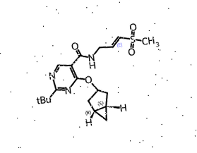 CC(C)(C)c1ncc(C(=O)NC/C=C/S(C)(=O)=O)c(OC2C[C@@H]3C[C@@H]3C2)n1